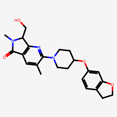 Cc1cc2c(nc1N1CCC(Oc3ccc4c(c3)OCC4)CC1)C(CO)N(C)C2=O